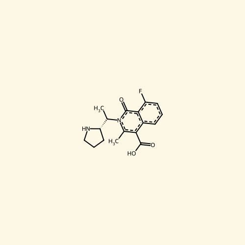 Cc1c(C(=O)O)c2cccc(F)c2c(=O)n1C(C)[C@@H]1CCCN1